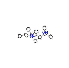 c1ccc(-c2ccc(-c3nn4c(-c5ccccc5)c(-c5cccc(-c6cc(-c7ccccc7)nc(-c7ccccc7)n6)c5)c5ccccc5c4c3-c3ccccc3)cc2)cc1